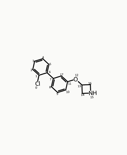 Clc1ccccc1-c1cccc(OC2CNC2)c1